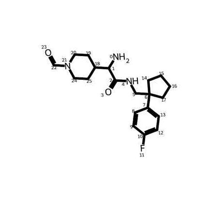 NC(C(=O)NCC1(c2ccc(F)cc2)CCCC1)C1CCN(C=O)CC1